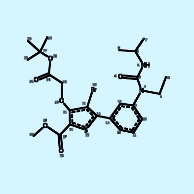 CCN(C(=O)NC(C)C)c1cccc(-c2sc(C(=O)OC)c(OCC(=O)OC(C)(C)C)c2Br)c1